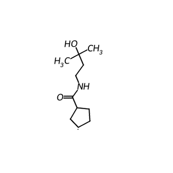 CC(C)(O)CCNC(=O)C1C[CH]CC1